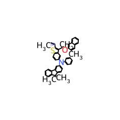 C=C(Oc1cc2ccccc2cc1C)c1c(/C=C\C)sc2ccc(N(c3ccccc3)c3ccc4c(c3)-c3ccccc3C4(C)C)cc12